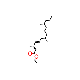 CCCC(C)CCCC(C)CC=CC(C)=CC(=O)OCC